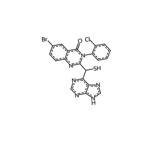 O=c1c2cc(Br)ccc2nc(C(S)c2ncnc3[nH]cnc23)n1-c1ccccc1Cl